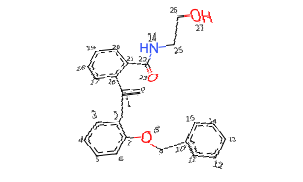 C=C(c1ccccc1OCc1ccccc1)c1ccccc1C(=O)NCCO